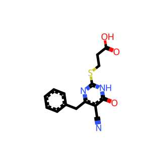 N#Cc1c(Cc2ccccc2)nc(SCCC(=O)O)[nH]c1=O